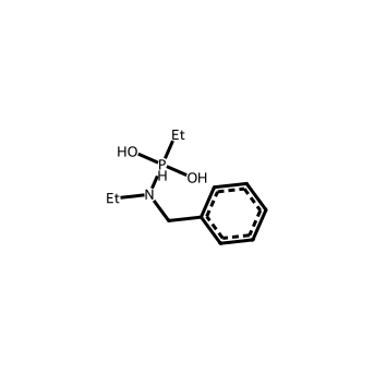 CCN(Cc1ccccc1)[PH](O)(O)CC